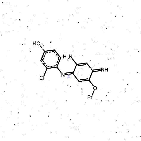 CCOC1=C/C(=N/c2ccc(O)cc2Cl)C(N)=CC1=N